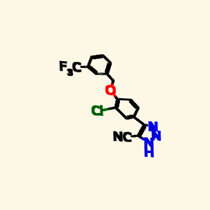 N#Cc1[nH]nnc1-c1ccc(OCc2cccc(C(F)(F)F)c2)c(Cl)c1